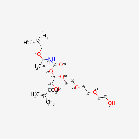 C=C(C)C(=O)O.C=C(C)COC(C)NC(=O)OC(CO)OCCOCCOCCO